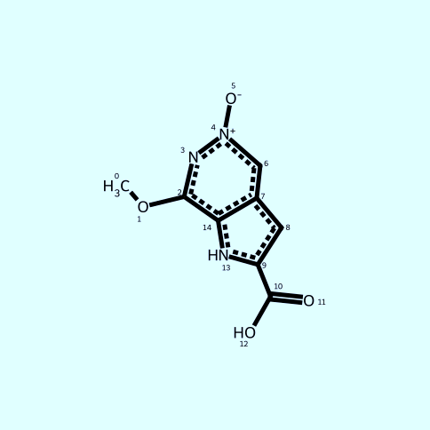 COc1n[n+]([O-])cc2cc(C(=O)O)[nH]c12